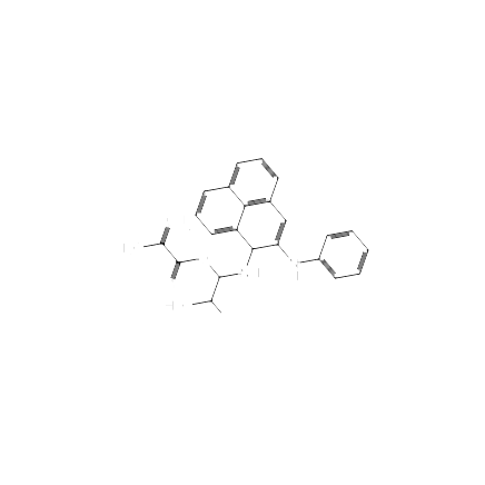 C=C(C)C(=O)OC(NC1C(Nc2ccccc2)=Cc2cccc3cccc1c23)C(C)O